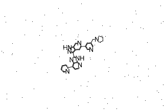 c1ccc(-c2ccnc3[nH]c(-c4n[nH]c5cnc(-c6cncc(CN7CCCC7)c6)cc45)nc23)nc1